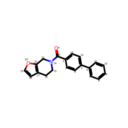 O=C(c1ccc(-c2ccccc2)cc1)N1CCc2ccoc2C1